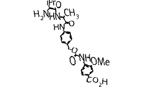 COc1cc(C(=O)O)ccc1NC(=O)OCc1ccc(NC(=O)C(C)NC(=O)[C@@H](N)C(C)C)cc1